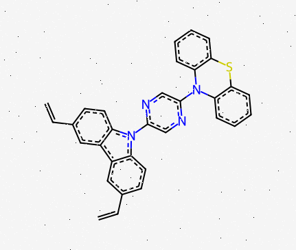 C=Cc1ccc2c(c1)c1cc(C=C)ccc1n2-c1cnc(N2c3ccccc3Sc3ccccc32)cn1